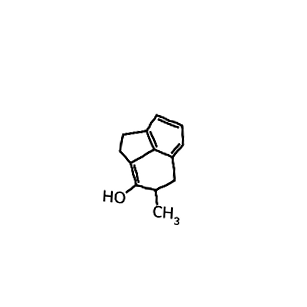 CC1Cc2cccc3c2C(=C1O)CC3